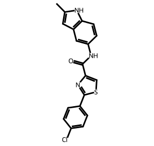 Cc1cc2cc(NC(=O)c3csc(-c4ccc(Cl)cc4)n3)ccc2[nH]1